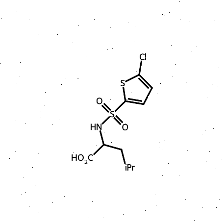 CC(C)CC(NS(=O)(=O)c1ccc(Cl)s1)C(=O)O